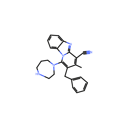 Cc1c(Cc2ccccc2)c(N2CCCNCC2)n2c(nc3ccccc32)c1C#N